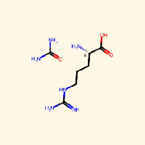 N=C(N)NCCC[C@H](N)C(=O)O.NC(N)=O